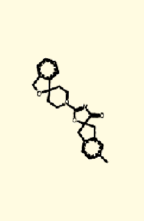 Cc1ccc2c(c1)CC1(C2)OC(N2CCC3(CC2)OCc2ccccc23)=NC1=O